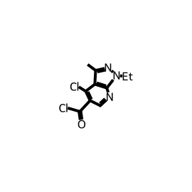 CCn1nc(C)c2c(Cl)c(C(=O)Cl)cnc21